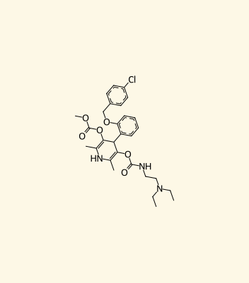 CCN(CC)CCNC(=O)OC1=C(C)NC(C)=C(OC(=O)OC)C1c1ccccc1OCc1ccc(Cl)cc1